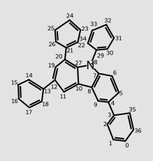 c1ccc(-c2ccc3c(c2)c2cc(-c4ccccc4)cc(-c4ccccc4)c2n3-c2ccccc2)cc1